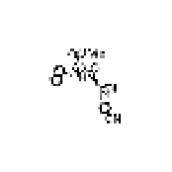 COC(=O)[C@H]1C[C@@H](C(=O)NCCc2cncn2Cc2ccc(C#N)cc2)CN(Cc2cccc3ccccc23)C1